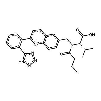 CCCC(=O)N(Cc1ccc2nc(-c3ccccc3-c3nnn[nH]3)ccc2c1)[C@H](C(=O)O)C(C)C